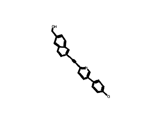 OCc1ccc2cc(C#Cc3ccc(-c4ccc(Cl)cc4)cn3)ccc2c1